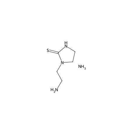 N.NCCN1CCNC1=S